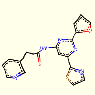 O=C(Cc1cccnc1)Nc1cc(-c2nccs2)nc(-c2ccco2)n1